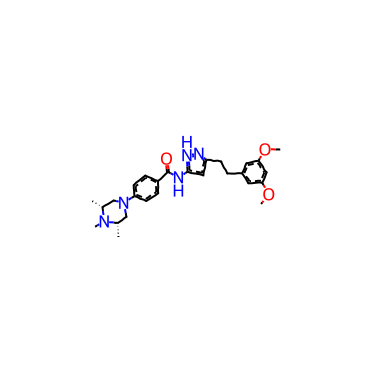 COc1cc(CCc2cc(NC(=O)c3ccc(N4C[C@@H](C)N(C)[C@@H](C)C4)cc3)[nH]n2)cc(OC)c1